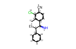 CCC(C(=N)c1ccc(C#N)c(Cl)c1C)c1ccccc1